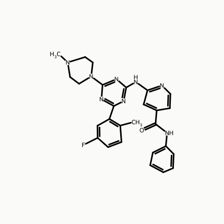 Cc1ccc(F)cc1-c1nc(Nc2cc(C(=O)Nc3ccccc3)ccn2)nc(N2CCN(C)CC2)n1